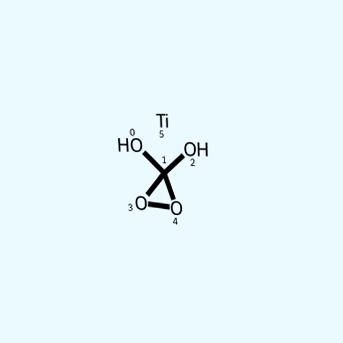 OC1(O)OO1.[Ti]